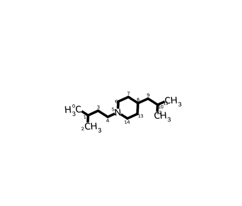 CC(C)CCN1CCC(CC(C)C)CC1